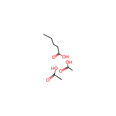 CC(=O)O.CC(=O)O.CCCCC(=O)O